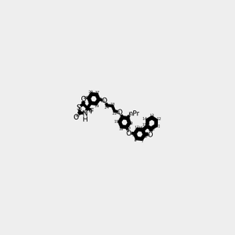 CCCc1cc(Oc2ccc3oc4ccccc4c3c2)ccc1OCCCOc1cccc(C2(F)NC(=O)SC2=O)c1